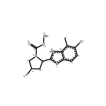 Cc1c(Cl)ccc2nc(C3CC(F)CN3C(=O)OC(C)(C)C)[nH]c12